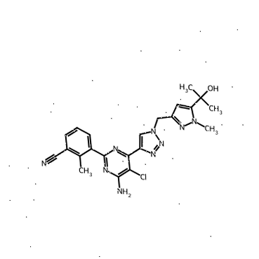 Cc1c(C#N)cccc1-c1nc(N)c(Cl)c(-c2cn(Cc3cc(C(C)(C)O)n(C)n3)nn2)n1